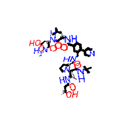 CC(C)C[C@H](NC(=O)c1ccc(-c2ccncc2)c(CNC(=O)[C@@H]2CCCN2[C@H](C(=O)NC(C)(C)C)[C@H](C)NC(=O)C[C@@H](C)O)c1)C(=O)N[C@@H](CC(=O)O)C(N)=O